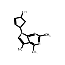 Cc1nc(C)c2c(C#N)cn(C3C=CC(O)C3)c2n1